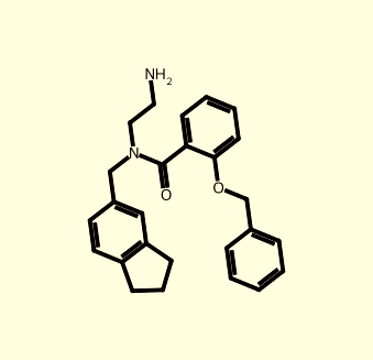 NCCN(Cc1ccc2c(c1)CCC2)C(=O)c1ccccc1OCc1ccccc1